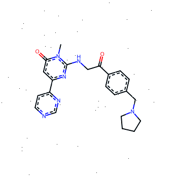 Cn1c(NCC(=O)c2ccc(CN3CCCC3)cc2)nc(-c2ccncn2)cc1=O